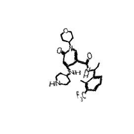 Cc1c(C(C)NC(=O)c2cn(C3CCOCC3)c(=O)cc2NC2CCNCC2)cccc1C(F)(F)F